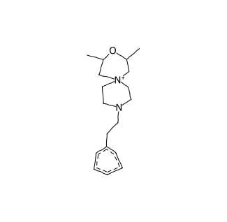 CC1C[N+]2(CCN(CCc3ccccc3)CC2)CC(C)O1